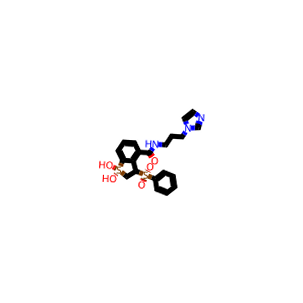 O=C(NCCCn1ccnc1)c1cccc2c1C(S(=O)(=O)c1ccccc1)CS2(O)O